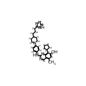 Cc1cc(O)c(C2CCCC2)c2nc(Nc3ccc(N4CCC(CCCc5nnn[nH]5)CC4)cc3)ncc12